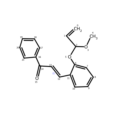 C=CC(OC)Oc1ccccc1/C=C/C(=O)c1ccccc1